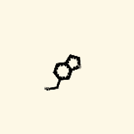 O[CH]c1ccc2ccoc2c1